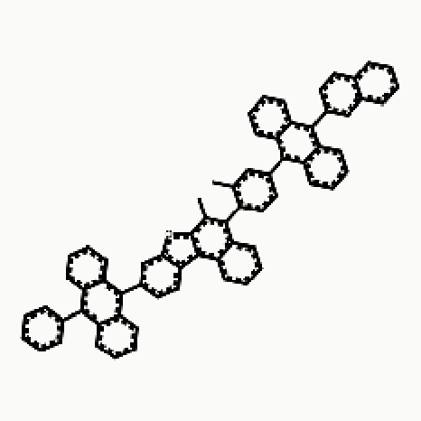 Cc1cc(-c2c3ccccc3c(-c3ccc4ccccc4c3)c3ccccc23)ccc1-c1c(C)c2oc3cc(-c4c5ccccc5c(-c5ccccc5)c5ccccc45)ccc3c2c2ccccc12